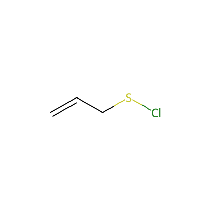 C=CCSCl